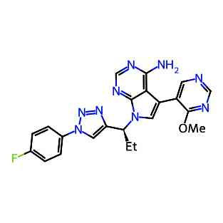 CC[C@@H](c1cn(-c2ccc(F)cc2)nn1)n1cc(-c2cncnc2OC)c2c(N)ncnc21